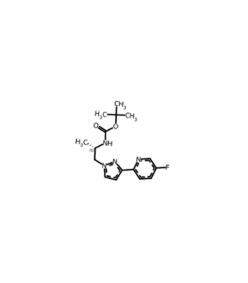 C[C@@H](Cn1ccc(-c2ccc(F)cn2)n1)NC(=O)OC(C)(C)C